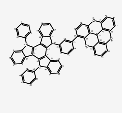 c1ccc(-n2c3ccccc3c3c2c2c4ccccc4n(-c4cccc(-c5ccc6c7c5Oc5cccc8c5B7c5c(cccc5O6)O8)c4)c2c2c4ccccc4n(-c4ccccc4)c32)cc1